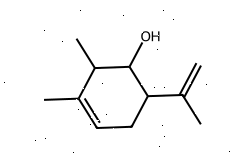 C=C(C)C1CC=C(C)C(C)C1O